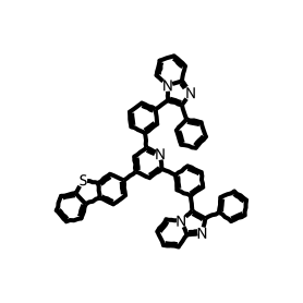 c1ccc(-c2nc3ccccn3c2-c2cccc(-c3cc(-c4ccc5c(c4)sc4ccccc45)cc(-c4cccc(-c5c(-c6ccccc6)nc6ccccn56)c4)n3)c2)cc1